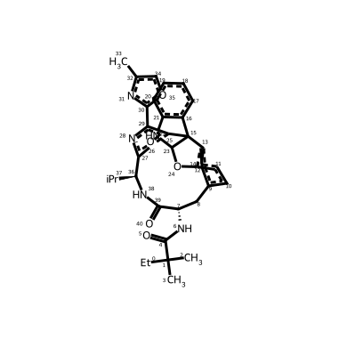 CCC(C)(C)C(=O)N[C@H]1Cc2ccc3c(c2)C2(c4ccccc4NC2O3)c2oc(nc2-c2nc(C)co2)[C@H](C(C)C)NC1=O